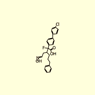 O=C(O)C(F)(c1ccc(-c2ccc(Cl)cc2)cc1)C(CC=NO)CCCc1ccccc1